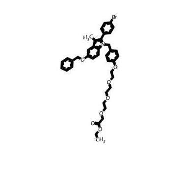 CCOC(=O)COCCOCCOCCOc1ccc(Cn2c(-c3ccc(Br)cc3)c(C)c3cc(OCc4ccccc4)ccc32)cc1